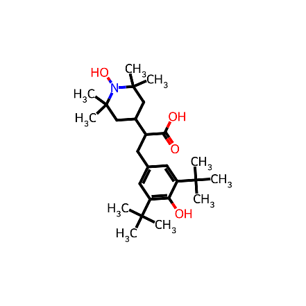 CC(C)(C)c1cc(CC(C(=O)O)C2CC(C)(C)N(O)C(C)(C)C2)cc(C(C)(C)C)c1O